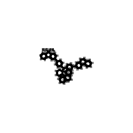 CC1(C)c2ccccc2-c2cc(-c3ccc(N(c4ccc(-c5ccc6c(ccc7ccccc76)c5)cc4)C4(c5ccccc5-c5ccccc5)CC=CC=C4c4ccccc4)cc3)ccc21